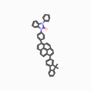 CC1(C)c2ccccc2-c2ccc(-c3ccc4ccc5c(-c6ccc(-n7c(=O)n(-c8ccccc8)c8ccccc87)cc6)ccc6ccc3c4c65)cc21